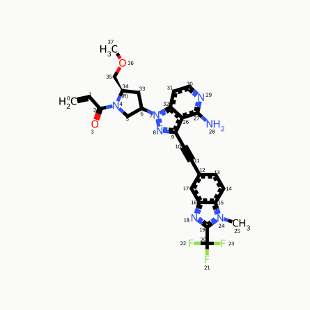 C=CC(=O)N1CC(n2nc(C#Cc3ccc4c(c3)nc(C(F)(F)F)n4C)c3c(N)nccc32)C[C@@H]1COC